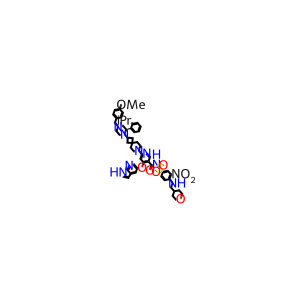 COc1ccc(CN2CCN(C3CC4(CCN(c5cc(Oc6cnc7[nH]ccc7c6)c(C(=O)NS(=O)(=O)c6ccc(NCC7CCOCC7)c([N+](=O)[O-])c6)cn5)CC4)C3)[C@H](c3ccccc3C(C)C)C2)cc1